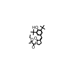 CCON(C)C(=O)N1CCC(=Cc2cc(C(C)(C)C)c(O)c(C(C)(C)C)c2)C1=O